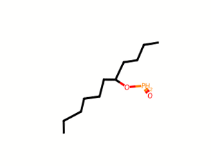 CCCCCCC(CCCC)O[PH2]=O